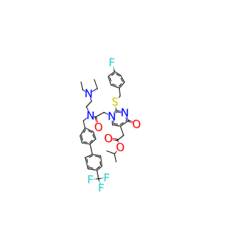 CCN(CC)CCN(Cc1ccc(-c2ccc(C(F)(F)F)cc2)cc1)C(=O)Cn1cc(CC(=O)OC(C)C)c(=O)nc1SCc1ccc(F)cc1